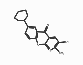 N#Cc1cc2c(=O)c3cc(C4CCCCC4)ccc3oc2nc1N